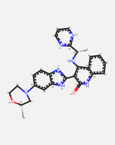 C[C@H](Nc1c(-c2nc3ccc(N4CCO[C@@H](C)C4)cc3[nH]2)c(=O)[nH]c2ccccc12)c1ncccn1